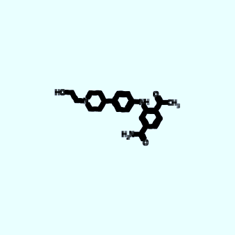 CC(=O)c1ccc(C(N)=O)cc1Nc1ccc(C2CCN(CCO)CC2)cc1